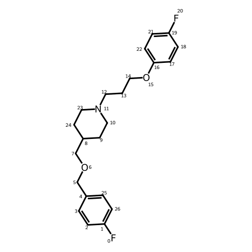 Fc1ccc(COCC2CCN(CCCOc3ccc(F)cc3)CC2)cc1